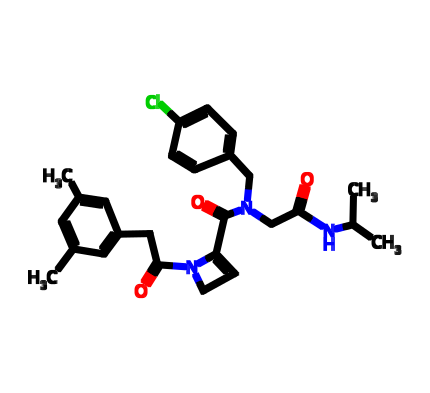 Cc1cc(C)cc(CC(=O)N2CC=C2C(=O)N(CC(=O)NC(C)C)Cc2ccc(Cl)cc2)c1